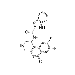 CN(C(=O)c1cc2ccccc2[nH]1)C1CNCc2[nH]c(=O)c3cc(F)c(F)cc3c21